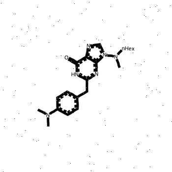 CCCCCCN(C)n1cnc2c(=O)[nH]c(Cc3ccc(N(C)C)cc3)nc21